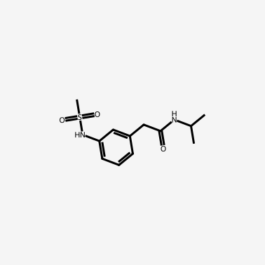 CC(C)NC(=O)Cc1cccc(NS(C)(=O)=O)c1